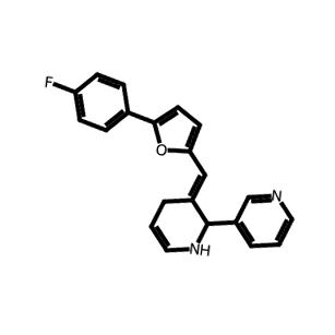 Fc1ccc(-c2ccc(C=C3CC=CNC3c3cccnc3)o2)cc1